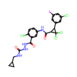 O=C(NCC1CC1)NNC(=O)c1cc(NC(=O)C2C(c3cc(Cl)cc(I)c3)C2(Cl)Cl)ccc1Cl